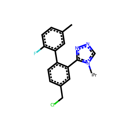 Cc1ccc(F)c(-c2ccc(CCl)cc2-c2nncn2C(C)C)c1